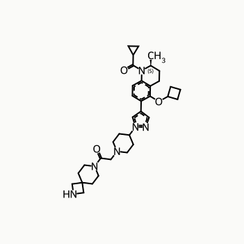 C[C@H]1CCc2c(ccc(-c3cnn(C4CCN(CC(=O)N5CCC6(CC5)CNC6)CC4)c3)c2OC2CCC2)N1C(=O)C1CC1